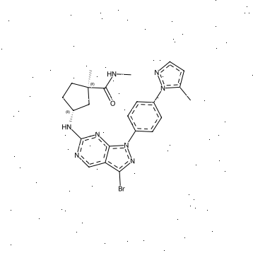 CNC(=O)[C@]1(C)CC[C@@H](Nc2ncc3c(Br)nn(-c4ccc(-n5nccc5C)cc4)c3n2)C1